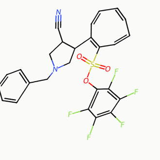 N#CC1CN(Cc2ccccc2)CC1C1=C(S(=O)(=O)Oc2c(F)c(F)c(F)c(F)c2F)/C=C\C=C/C=C\1